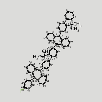 CC1(C)c2ccccc2-c2ccc(-c3c4ccccc4c(-c4ccc5c(c4)C(C)(C)c4cc(-c6c7ccccc7c(-c7ccc(F)cc7)c7ccccc67)ccc4-5)c4ccccc34)cc21